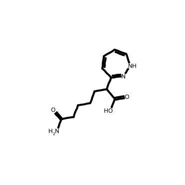 NC(=O)CCCCC(C(=O)O)C1=NNC=CC=C1